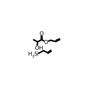 C=CCOC(=O)C(C)O.C=CC[SiH3]